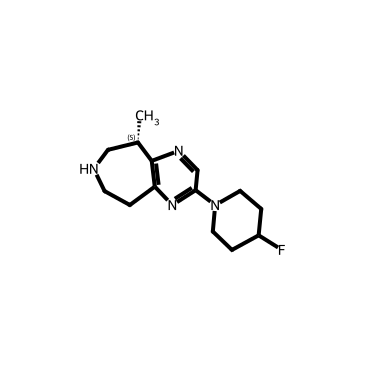 C[C@H]1CNCCc2nc(N3CCC(F)CC3)cnc21